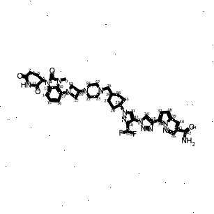 Cn1c(=O)n(C2CCC(=O)NC2=O)c2cccc(N3CC(N4CCN(CC5CCC(n6cc(-n7cc(-c8ccc9cc(C(N)=O)cnn89)nn7)c(C(F)F)n6)CC5)CC4)C3)c21